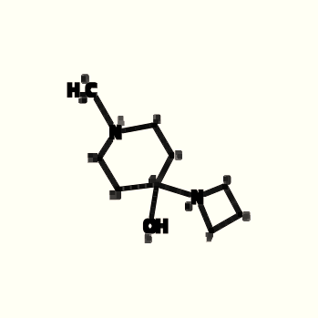 CN1CCC(O)(N2CCC2)CC1